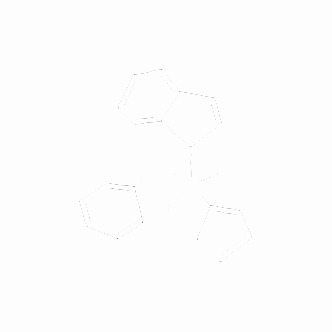 [Cl][Zr]([Cl])([BH]c1ccccc1)([C]1=CC=CC1)[CH]1C=Cc2ccccc21